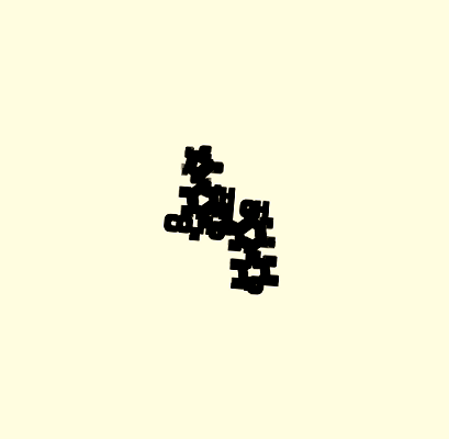 O=C(Nc1cc(-c2ccsc2)ccc1C(=O)O)c1cc(N2CCOCC2)ccc1O